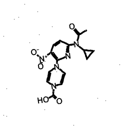 CC(=O)N(c1ccc([N+](=O)[O-])c(N2C=CN(C(=O)O)C=C2)n1)C1CC1